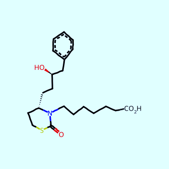 O=C(O)CCCCCCN1C(=O)SCC[C@@H]1CC[C@@H](O)Cc1ccccc1